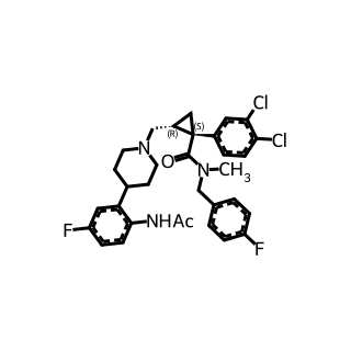 CC(=O)Nc1ccc(F)cc1C1CCN(C[C@@H]2C[C@@]2(C(=O)N(C)Cc2ccc(F)cc2)c2ccc(Cl)c(Cl)c2)CC1